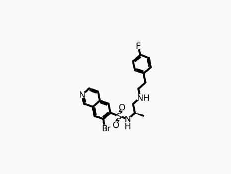 C[C@H](CNCCc1ccc(F)cc1)NS(=O)(=O)c1cc2ccncc2cc1Br